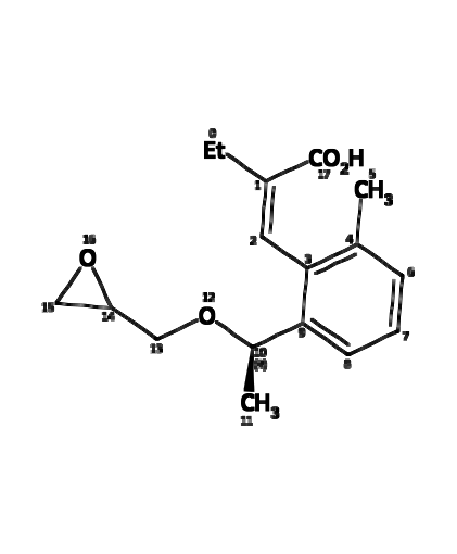 CCC(=Cc1c(C)cccc1[C@@H](C)OCC1CO1)C(=O)O